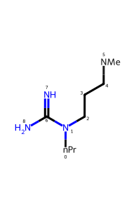 CCCN(CCCNC)C(=N)N